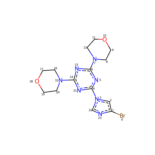 Brc1cn(-c2nc(N3CCOCC3)nc(N3CCOCC3)n2)cn1